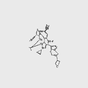 CC(C)(C)CNc1c(C#N)cnc2c(C#N)cc(N[C@H](C3=CN(C4CC4)NN3)c3csc4c3CCN(C3COC3)C4)cc12